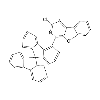 Clc1nc(-c2cccc3c2-c2ccccc2C32c3ccccc3-c3ccccc32)c2oc3ccccc3c2n1